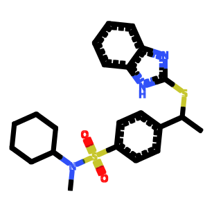 CC(Sc1nc2ccccc2[nH]1)c1ccc(S(=O)(=O)N(C)C2CCCCC2)cc1